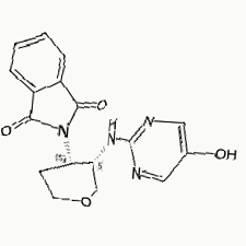 O=C1c2ccccc2C(=O)N1[C@H]1CCOC[C@H]1Nc1ncc(O)cn1